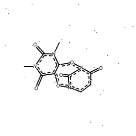 Cn1c(=O)c2on3ccc(=O)n(oc2n(C)c1=O)c3=O